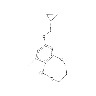 Cc1cc(OCC2CC2)cc2c1NCCCCO2